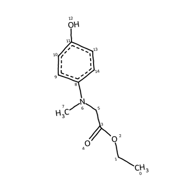 CCOC(=O)CN(C)c1ccc(O)cc1